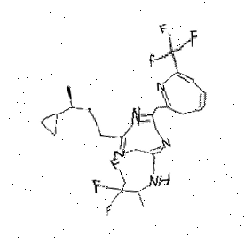 CC(Nc1nc(CC[C@H](C)C2CC2)nc(-c2cccc(C(F)(F)F)n2)n1)C(F)(F)F